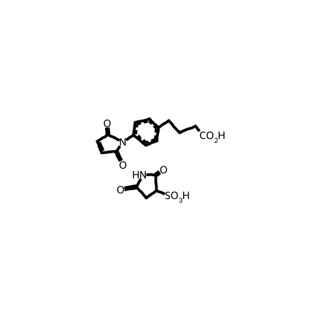 O=C(O)CCCc1ccc(N2C(=O)C=CC2=O)cc1.O=C1CC(S(=O)(=O)O)C(=O)N1